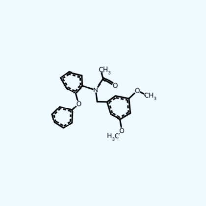 COc1cc(CN(C(C)=O)c2ccccc2Oc2ccccc2)cc(OC)c1